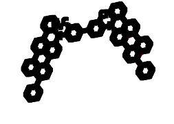 Cc1cc(-c2ccc(N(c3ccc(-c4ccc(-c5ccccc5)cc4)cc3)c3ccccc3-c3ccc(-c4ccccc4)cc3)c(C)c2)ccc1N(c1ccc(-c2ccc(-c3ccccc3)cc2)cc1)c1ccccc1-c1ccc(-c2ccccc2)cc1